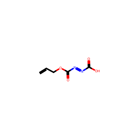 C=CCOC(=O)N=NC(=O)O